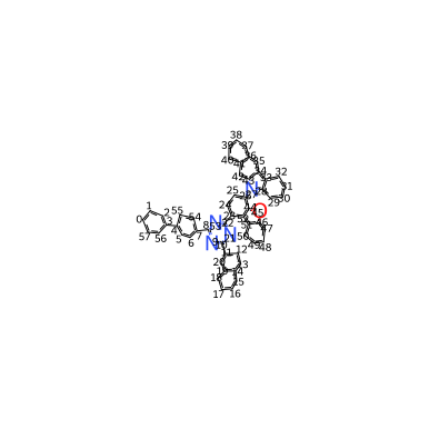 c1ccc(-c2ccc(-c3nc(-c4ccc5ccccc5c4)nc(-c4ccc(-n5c6ccccc6c6cc7ccccc7cc65)c5oc6ccccc6c45)n3)cc2)cc1